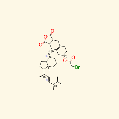 CC(C)[C@@H](C)/C=C/[C@@H](C)C1CCC2/C(=C/[C@H]3C4=C(CC[C@H](OC(=O)CBr)C4)CC4C(=O)OC(=O)C43)CCCC21C